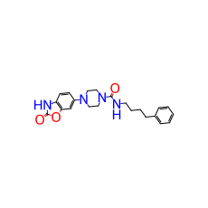 O=C(NCCCCc1ccccc1)N1CCN(c2ccc3[nH]c(=O)oc3c2)CC1